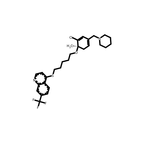 C[C@@]1(OCCCCCSc2ccnc3cc(C(F)(F)F)ccc23)CC=C(CN2CCCCC2)C=C1Cl